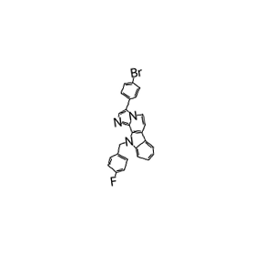 Fc1ccc(Cn2c3ccccc3c3ccn4c(-c5ccc(Br)cc5)cnc4c32)cc1